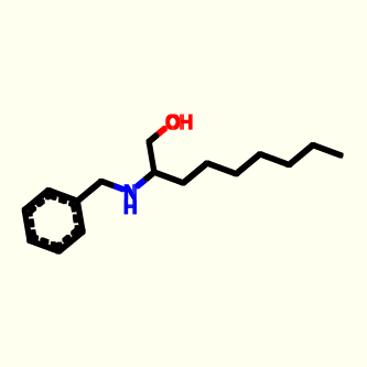 CCCCCCCC(CO)NCc1ccccc1